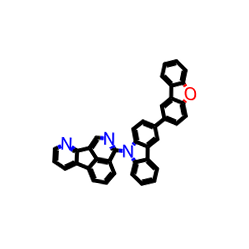 c1cnc2c(c1)-c1cccc3c(-n4c5ccccc5c5cc(-c6ccc7oc8ccccc8c7c6)ccc54)ncc-2c13